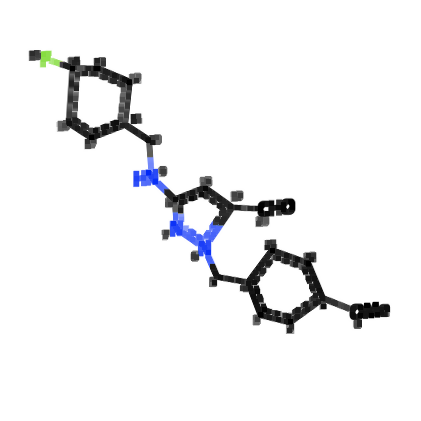 COc1ccc(Cn2nc(NCc3ccc(F)cc3)cc2C=O)cc1